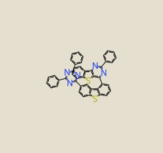 c1ccc(-c2nc(-c3ccccc3)nc(-c3ccc4sc5cccc(-c6nc(-c7ccccc7)nc7c6sc6ccccc67)c5c4c3)n2)cc1